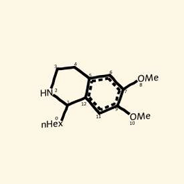 CCCCCCC1NCCc2cc(OC)c(OC)cc21